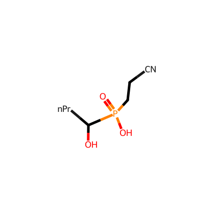 CCCC(O)P(=O)(O)CCC#N